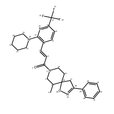 CC1CN(C(=O)C=Cc2ccc(C(F)(F)F)nc2N2CCCCC2)CCC12CC(c1ccccc1)=NO2